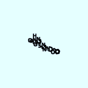 c1ccc2c(c1)CC1(CCN(c3cnc(Sc4ccnc5c4OCC4(COC4)N5)cn3)CC1)O2